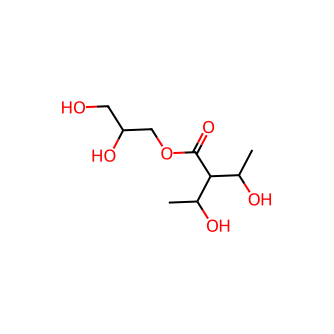 CC(O)C(C(=O)OCC(O)CO)C(C)O